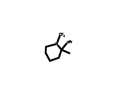 CCCC1(C)CCCCN1C(F)(F)F